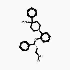 CCNCC[C@@H](Oc1ccccc1N1CCC(NC)(c2ccccc2)CC1)c1ccccc1